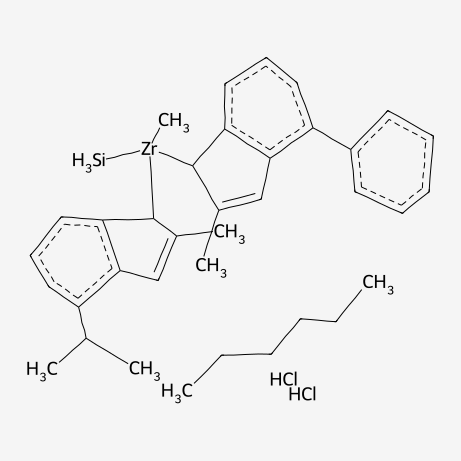 CC1=Cc2c(-c3ccccc3)cccc2[CH]1[Zr]([CH3])([SiH3])[CH]1C(C)=Cc2c(C(C)C)cccc21.CCCCCC.Cl.Cl